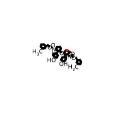 Cc1cccc(COC(=O)Nc2cccc(Oc3cccc(NC(=O)OCc4cccc(C)c4)c3-c3ccc(O)cc3)c2-c2ccc(O)cc2)c1